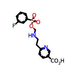 O=C(O)c1ccc(CCNCOS(=O)(=O)c2cccc(F)c2)nc1